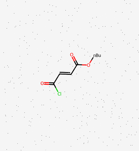 CCCCOC(=O)/C=C/C(=O)Cl